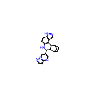 c1cc2ncc(C3Nc4ccc5[nH]ncc5c4C4C5CCC(C5)C34)cn2n1